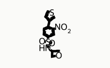 O=[N+]([O-])c1cc(S(=O)(=O)NC2COC2)ccc1-c1ccsc1